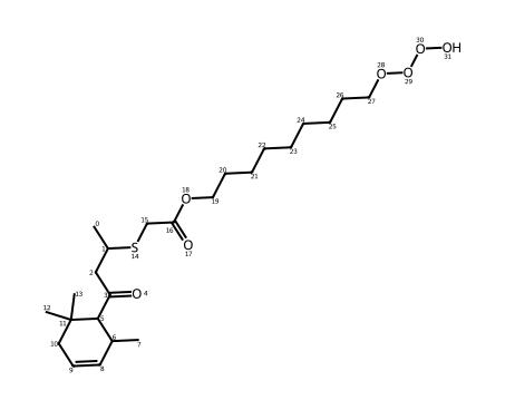 CC(CC(=O)C1C(C)C=CCC1(C)C)SCC(=O)OCCCCCCCCCOOOO